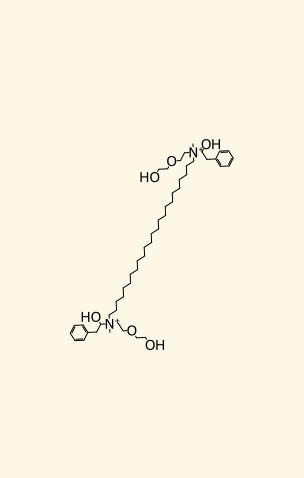 C[N+](CCCCCCCCCCCCCCCCCCCCCCCC[N+](C)(CCOCCO)C(O)Cc1ccccc1)(CCOCCO)C(O)Cc1ccccc1